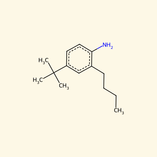 CCCCc1cc(C(C)(C)C)ccc1N